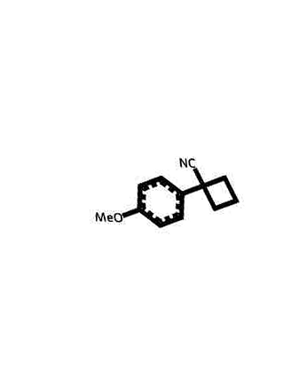 COc1ccc(C2(C#N)CCC2)cc1